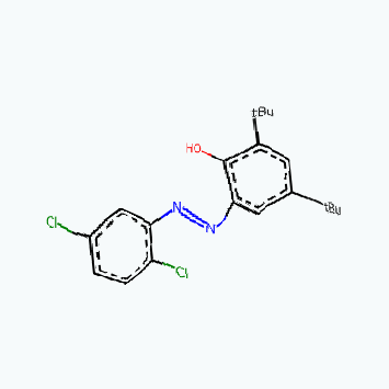 CC(C)(C)c1cc(/N=N/c2cc(Cl)ccc2Cl)c(O)c(C(C)(C)C)c1